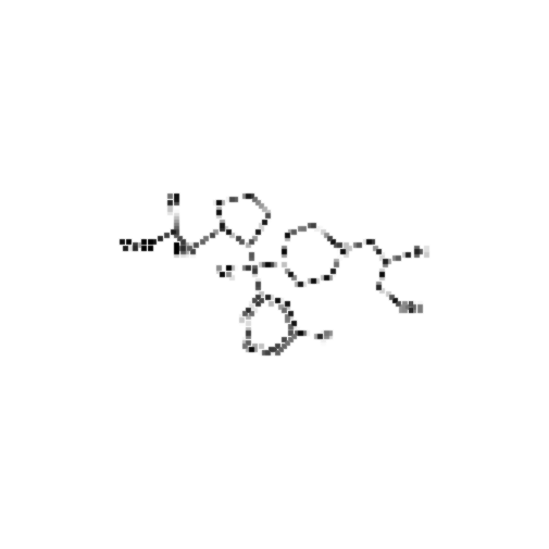 CCC(C)CC(CC)CN1CCC(C(C#N)(c2cccc(F)c2)C2CCCC2NC(=O)OC)CC1